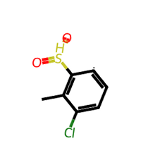 Cc1c([SH](=O)=O)[c]ccc1Cl